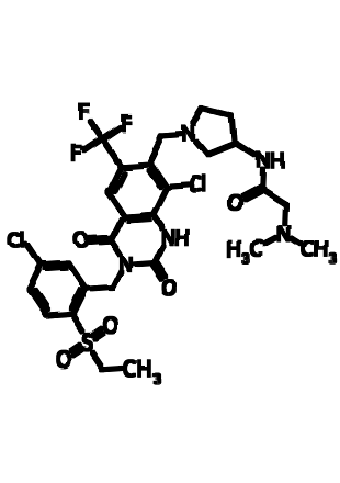 CCS(=O)(=O)c1ccc(Cl)cc1Cn1c(=O)[nH]c2c(Cl)c(CN3CCC(NC(=O)CN(C)C)C3)c(C(F)(F)F)cc2c1=O